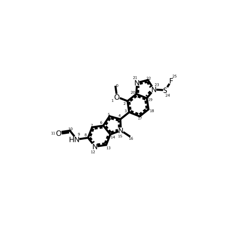 COc1c(-c2cc3cc(NC=O)ncc3n2C)ccc2c1ncn2SF